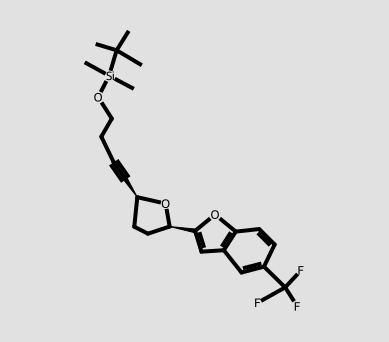 CC(C)(C)[Si](C)(C)OCCC#C[C@@H]1CC[C@H](c2cc3cc(C(F)(F)F)ccc3o2)O1